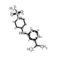 CC(C)c1cc(NC2CCN(S(C)(=O)=O)CC2)ncn1